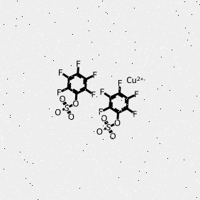 O=S(=O)([O-])Oc1c(F)c(F)c(F)c(F)c1F.O=S(=O)([O-])Oc1c(F)c(F)c(F)c(F)c1F.[Cu+2]